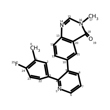 Cc1cc(-c2ncccc2-c2ccc3ncn(C)c(=O)c3c2)ccc1F